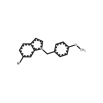 COc1ccc(Cn2ccc3ccc(Br)cc32)cc1